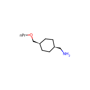 CCCOC[C@H]1CC[C@@H](CN)CC1